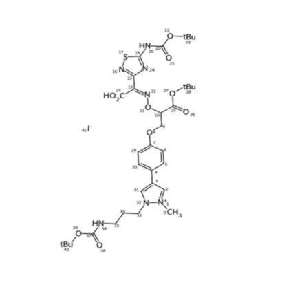 C[n+]1cc(-c2ccc(OCC(O/N=C(\C(=O)O)c3nsc(NC(=O)OC(C)(C)C)n3)C(=O)OC(C)(C)C)cc2)cn1CCCNC(=O)OC(C)(C)C.[I-]